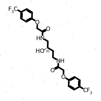 O=C(COc1ccc(C(F)(F)F)cc1)NCC[C@H](O)CNC(=O)COc1ccc(C(F)(F)F)cc1